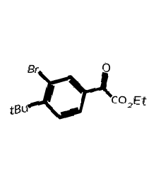 CCOC(=O)C(=O)c1ccc(C(C)(C)C)c(Br)c1